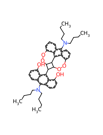 CCCCN(CCCC)c1c2cccc(O)c2c(C2C3OOc4cccc5c(N(CCCC)CCCC)c6cccc7c6c(c45)C3C2OO7)c2c(O)cccc12